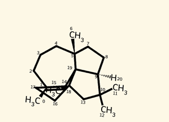 C[C@H]1CCC[C@]2(C)CC[C@H]3C(C)(C)C[C@]4(C)CC=C1C324